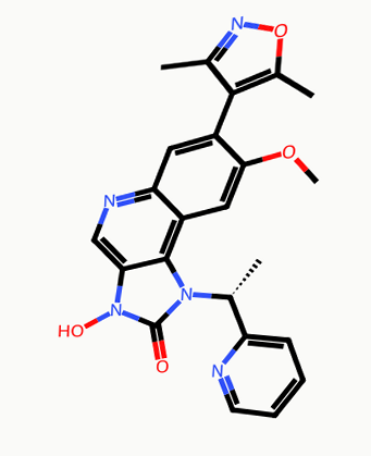 COc1cc2c(cc1-c1c(C)noc1C)ncc1c2n([C@H](C)c2ccccn2)c(=O)n1O